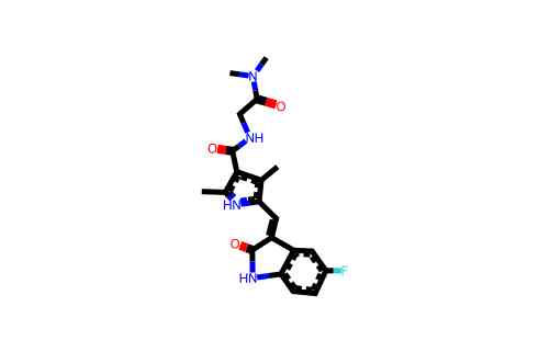 Cc1[nH]c(/C=C2\C(=O)Nc3ccc(F)cc32)c(C)c1C(=O)NCC(=O)N(C)C